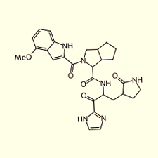 COc1cccc2[nH]c(C(=O)N3CC4CCCC4C3C(=O)NC(CC3CCNC3=O)C(=O)c3ncc[nH]3)cc12